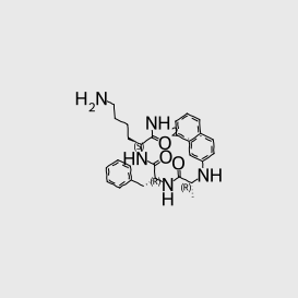 C[C@@H](Nc1ccc2ccccc2c1)C(=O)N[C@H](Cc1ccccc1)C(=O)N[C@@H](CCCCN)C(N)=O